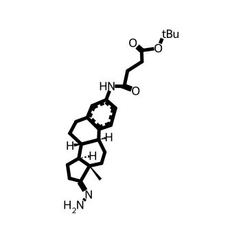 CC(C)(C)OC(=O)CCC(=O)Nc1ccc2c(c1)CC[C@@H]1[C@@H]2CC[C@]2(C)C(=NN)CC[C@@H]12